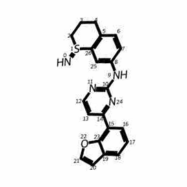 N=S1CCCc2ccc(Nc3nccc(-c4cccc5ccoc45)n3)cc21